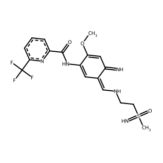 COC1=CC(=N)/C(=C\NCCS(C)(=N)=O)C=C1NC(=O)c1cccc(C(F)(F)F)n1